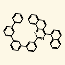 c1ccc(-c2cccc(-c3cccc(-c4cccc(-c5nc(-c6cccc7ccccc67)c6ccc7ccccc7c6n5)c4)c3)c2)cc1